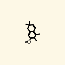 COc1cc2c(c(C)c1C)C=CC(C)(C)C2